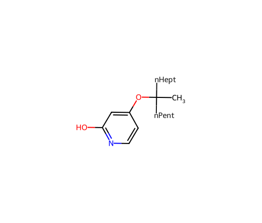 CCCCCCCC(C)(CCCCC)Oc1ccnc(O)c1